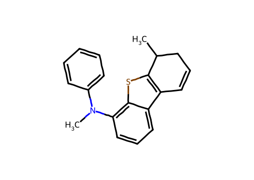 CC1CC=Cc2c1sc1c(N(C)c3ccccc3)cccc21